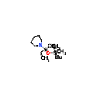 C=C[Si](C)(O[Si](C)(C)C(C)(C)C)N1CCCCC1